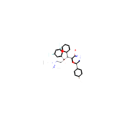 COc1ncc(-c2ccc(Br)cc2)cc1C(c1ccccc1)C(O)(CCN(C)C)c1cc(F)cc(F)c1